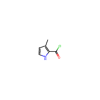 Cc1cc[nH]c1C(=O)Cl